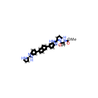 COC(=O)N[C@H](C(=O)N1CCCC1c1nc2ccc(-c3ccc4cc(-c5ccc6nc([C@@H]7CCCN7)[nH]c6c5)ccc4c3)cc2[nH]1)C(C)C